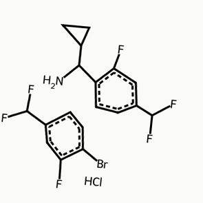 Cl.Fc1cc(C(F)F)ccc1Br.NC(c1ccc(C(F)F)cc1F)C1CC1